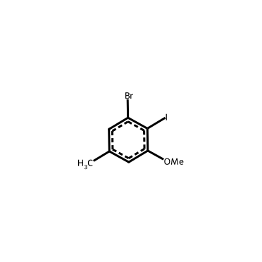 COc1cc(C)cc(Br)c1I